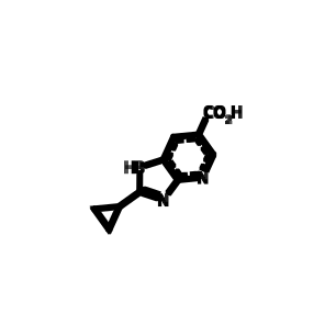 O=C(O)c1cnc2c(c1)BC(C1CC1)=N2